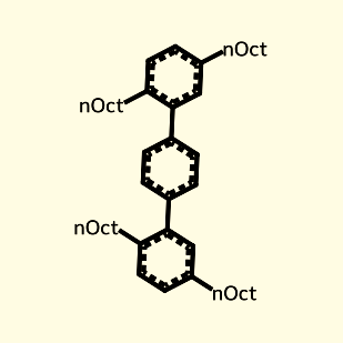 CCCCCCCCc1ccc(CCCCCCCC)c(-c2ccc(-c3cc(CCCCCCCC)ccc3CCCCCCCC)cc2)c1